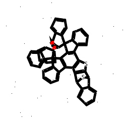 c1ccc2c(c1)-c1ccccc1C21c2ccccc2-c2c1c1c(c3c4c(sc23)C2SC4c3ccccc32)-c2ccccc2C12c1ccccc1-c1ccccc12